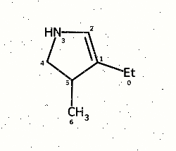 CCC1=CNCC1C